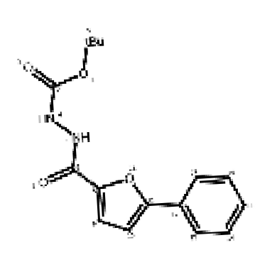 CC(C)(C)OC(=O)NNC(=O)c1ccc(-c2ccccc2)o1